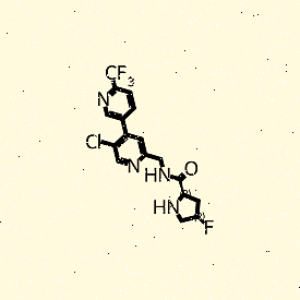 O=C(NCc1cc(-c2ccc(C(F)(F)F)nc2)c(Cl)cn1)[C@H]1C[C@@H](F)CN1